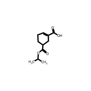 CC(C)OC(=O)C1CCC=C(C(=O)O)C1